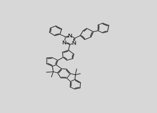 CC1(C)c2ccccc2-c2cc3c(cc21)-c1c(-c2cccc(-c4nc(-c5ccccc5)nc(-c5ccc(-c6ccccc6)cc5)n4)c2)cccc1C3(C)C